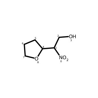 O=[N+]([O-])C(CO)C1CCCO1